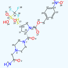 NC(=O)CN1CCN(C(=O)[C@@H]2C[C@H](S)CN2C(=O)OCc2ccc([N+](=O)[O-])cc2)CC1.O=S(=O)(O)C(F)(F)F